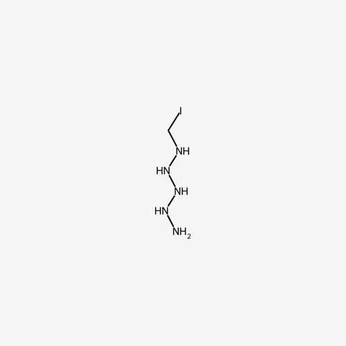 NNNNNCI